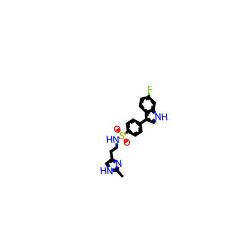 Cc1nc(CCNS(=O)(=O)c2ccc(-c3c[nH]c4cc(F)ccc34)cc2)c[nH]1